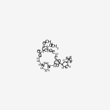 COc1cc2cc(c1OC)OCCCC(OC(=O)c1cccc(C(F)(F)F)c1)CCN1CCCN(CCCOC2=O)CC1